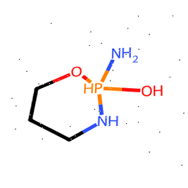 N[PH]1(O)NCCCO1